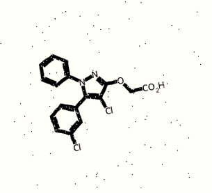 O=C(O)COc1nn(-c2ccccc2)c(-c2cccc(Cl)c2)c1Cl